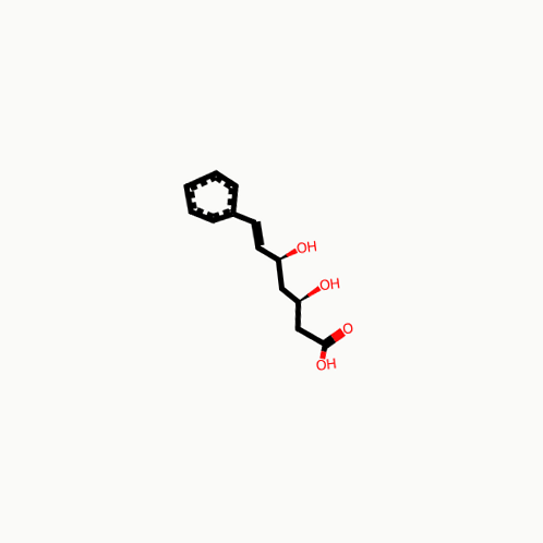 O=C(O)C[C@H](O)C[C@H](O)C=Cc1ccccc1